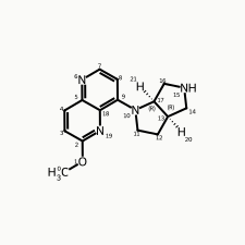 COc1ccc2nccc(N3CC[C@@H]4CNC[C@@H]43)c2n1